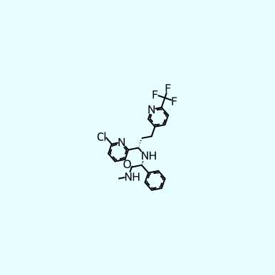 CNC(=O)[C@H](N[C@@H](CCc1ccc(C(F)(F)F)nc1)c1cccc(Cl)n1)c1ccccc1